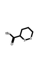 CC(C)(C)C(=O)C1CCCSS1